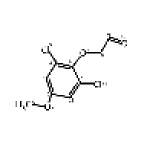 COc1cc(Cl)c(OC[C]=O)c(Cl)c1